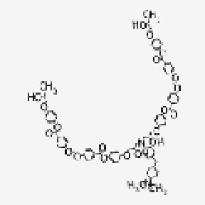 CCC(O)COc1ccc(OC(=O)c2ccc(OCOc3ccc(C(=O)Oc4ccc(OCC(O)CN(CC(O)COc5ccc(OC(=O)c6ccc(OCOc7ccc(C(=O)Oc8ccc(OCC(O)CC)cc8)cc7)cc6)cc5)c5ccc(Cc6ccc(N(C)C)cc6)cc5)cc4)cc3)cc2)cc1